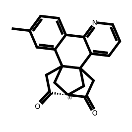 Cc1ccc2c(c1)C13CC(=O)[C@]4(C1)CC3(CC4=O)c1cccnc1-2